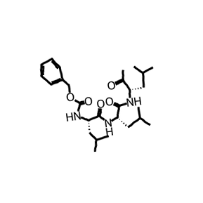 CC(=O)[C@H](CC(C)C)NC(=O)[C@H](CC(C)C)NC(=O)[C@H](CC(C)C)NC(=O)OCc1ccccc1